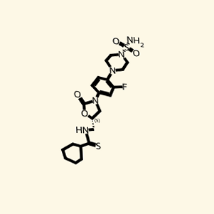 NS(=O)(=O)N1CCN(c2ccc(N3C[C@H](CNC(=S)C4CCCCC4)OC3=O)cc2F)CC1